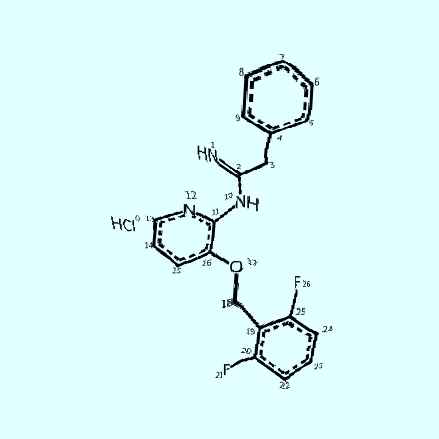 Cl.N=C(Cc1ccccc1)Nc1ncccc1OCc1c(F)cccc1F